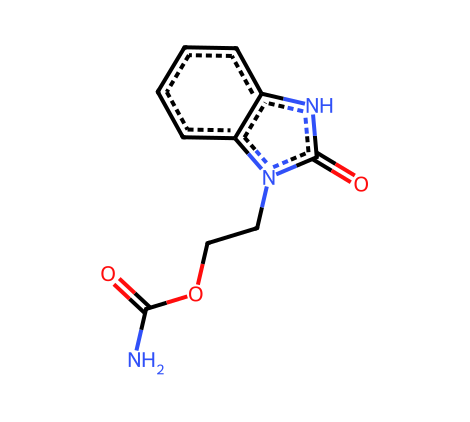 NC(=O)OCCn1c(=O)[nH]c2ccccc21